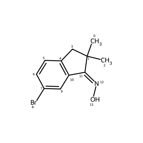 CC1(C)Cc2ccc(Br)cc2C1=NO